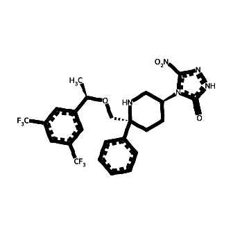 C[C@@H](OC[C@@]1(c2ccccc2)CC[C@H](n2c([N+](=O)[O-])n[nH]c2=O)CN1)c1cc(C(F)(F)F)cc(C(F)(F)F)c1